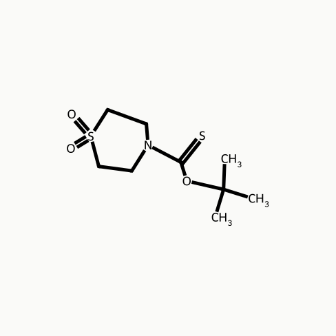 CC(C)(C)OC(=S)N1CCS(=O)(=O)CC1